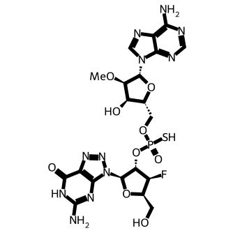 CO[C@@H]1[C@H](O)[C@@H](COP(=O)(S)O[C@@H]2[C@@H](F)[C@@H](CO)O[C@H]2n2nnc3c(=O)[nH]c(N)nc32)O[C@H]1n1cnc2c(N)ncnc21